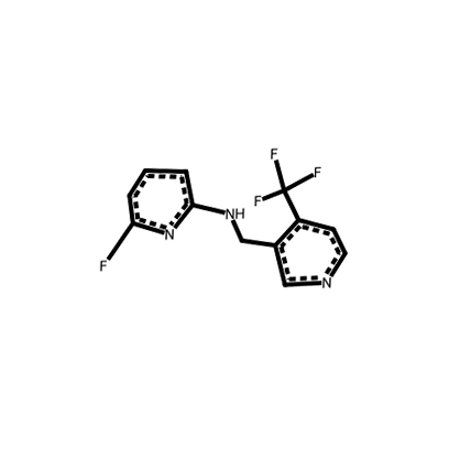 Fc1cccc(NCc2cnccc2C(F)(F)F)n1